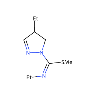 CC/N=C(/SC)N1CC(CC)C=N1